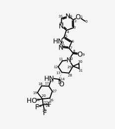 COc1cc(-c2cc(C(=O)N3CC[C@@H](C(=O)NC4CCC(O)(C(F)(F)F)CC4)CC34CC4)n[nH]2)ncn1